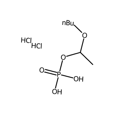 CCCCOC(C)OP(=O)(O)O.Cl.Cl